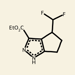 CCOC(=O)c1n[nH]c2c1C(C(F)F)CC2